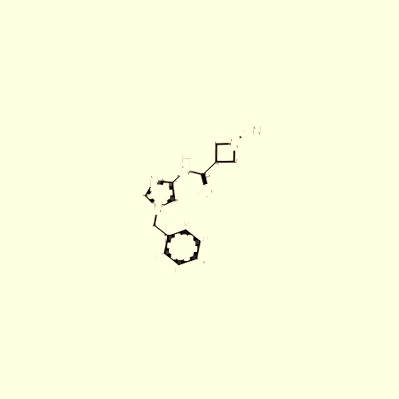 N#CN1CC(C(=O)Nc2cn(Cc3ccccc3)cn2)C1